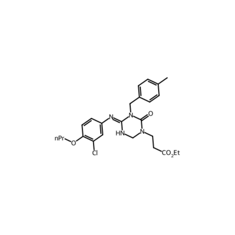 CCCOc1ccc(/N=C2\NCN(CCC(=O)OCC)C(=O)N2Cc2ccc(C)cc2)cc1Cl